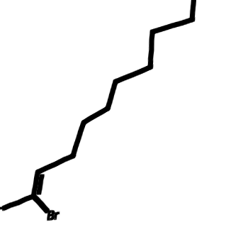 CCCCCCCCCCCCCCC=C(Br)Br